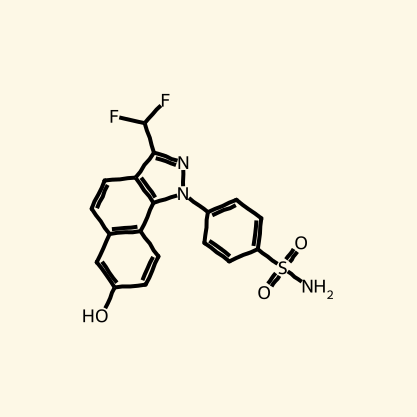 NS(=O)(=O)c1ccc(-n2nc(C(F)F)c3ccc4cc(O)ccc4c32)cc1